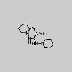 CCC[N+](CCC)=C(NN1CCCCC1)NN1CCCCC1